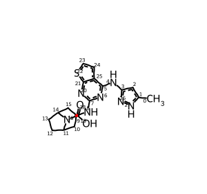 Cc1cc(Nc2nc(NC3CC4CCC(C3)N4C(=O)O)nc3sccc23)n[nH]1